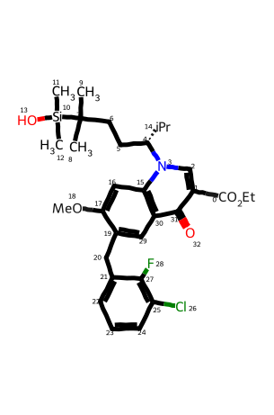 CCOC(=O)c1cn([C@H](CCC(C)(C)[Si](C)(C)O)C(C)C)c2cc(OC)c(Cc3cccc(Cl)c3F)cc2c1=O